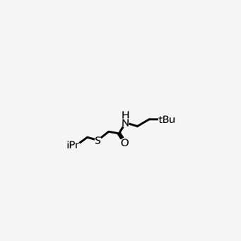 CC(C)CSCC(=O)NCCC(C)(C)C